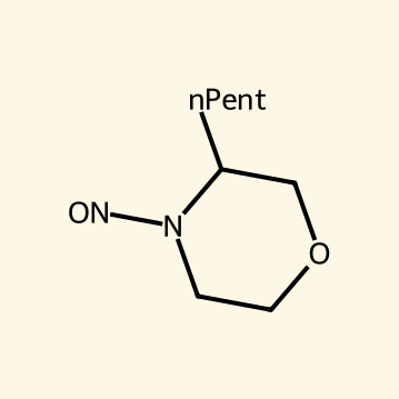 CCCCCC1COCCN1N=O